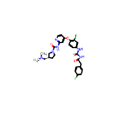 CN(C)C[C@@H]1CCN(C(=O)Nc2cc(Oc3ccc(NC(=S)NC(=O)Cc4ccc(F)cc4)cc3F)ccn2)C1